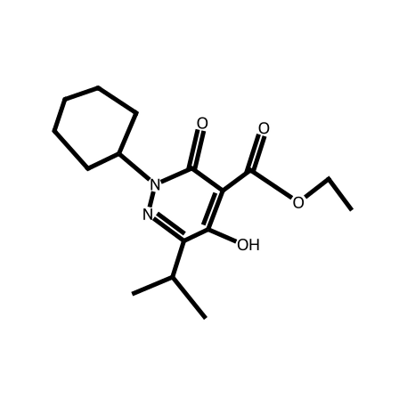 CCOC(=O)c1c(O)c(C(C)C)nn(C2CCCCC2)c1=O